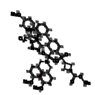 COc1ccc(CN(Cc2ccc(OC)cc2)S(=O)(=O)c2c(S(=O)(=O)C3CN(C(=O)OC(C)(C)C)C3)ccc(-c3cccc4[nH]c(C(Cl)(Cl)Cl)nc34)c2-c2nnnn2Cc2ccc(OC)cc2)cc1